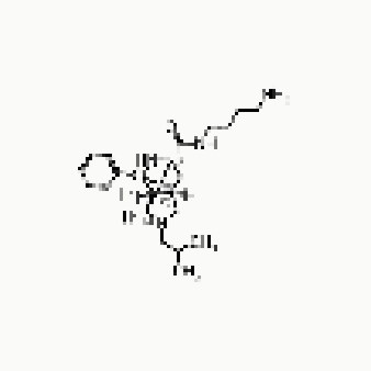 CC(C)CN1C[C@H]2C[C@]3(C(=O)NCCCCN)NC[C@H]2[C@H]1[C@H]3Cc1ccccc1